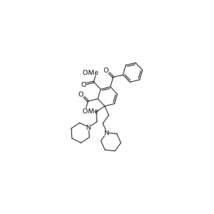 COC(=O)C1=C(C(=O)c2ccccc2)C=CC(CCN2CCCCC2)(CCN2CCCCC2)C1C(=O)OC